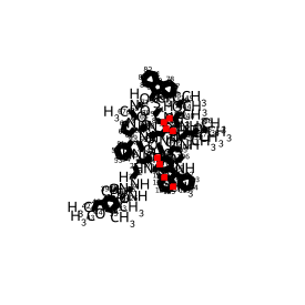 CC[C@H](C)[C@H](NC(=O)CNC(=O)[C@H](CCSC)NC(=O)[C@H](CCCNC(=N)NS(=O)(=O)c1c(C)c(C)c2c(c1C)CC(C)(C)O2)NC(=O)[C@H](Cc1ccccc1)NC(=O)[C@@H]1CCCN1C(=O)[C@H](C)NC(=O)OCC1c2ccccc2-c2ccccc21)C(=O)N[C@@H](CCSC)C(=O)N[C@H](C(=O)N[C@H](C(=O)N[C@@H](CC(=O)NC(c1ccccc1)(c1ccccc1)c1ccccc1)C(=O)O)[C@@H](C)OC(C)(C)C)[C@@H](C)OC(C)(C)C